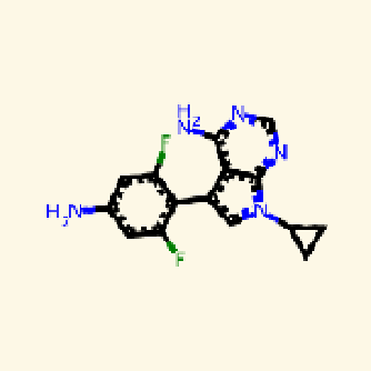 Nc1cc(F)c(-c2cn(C3CC3)c3ncnc(N)c23)c(F)c1